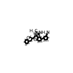 CN1OC2(CC(C3COc4ccccc4C3)Oc3ccc(-c4cccc(C#N)c4)cc32)N=C1N